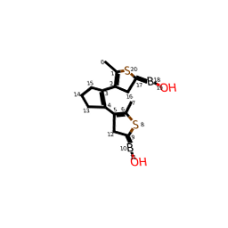 CC1=C(C2=C(C3=C(C)S/C(=B/O)C3)CCC2)C/C(=B/O)S1